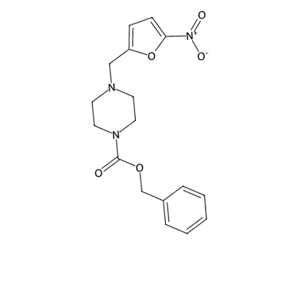 O=C(OCc1ccccc1)N1CCN(Cc2ccc([N+](=O)[O-])o2)CC1